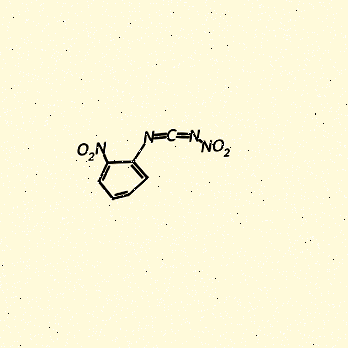 O=[N+]([O-])N=C=Nc1ccccc1[N+](=O)[O-]